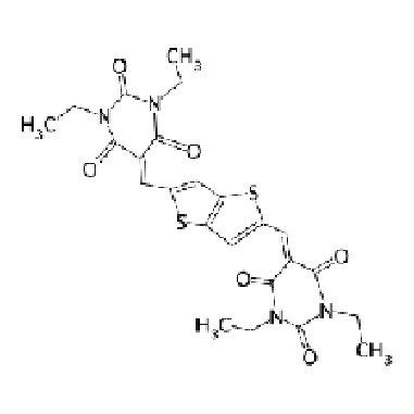 CCN1C(=O)C(=Cc2cc3sc(C=C4C(=O)N(CC)C(=O)N(CC)C4=O)cc3s2)C(=O)N(CC)C1=O